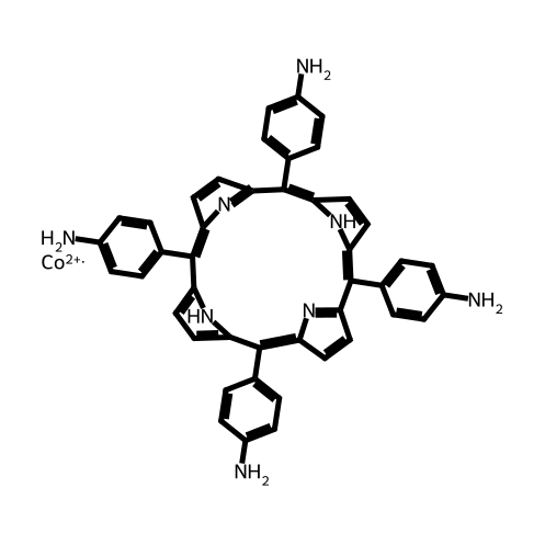 Nc1ccc(-c2c3nc(c(-c4ccc(N)cc4)c4ccc([nH]4)c(-c4ccc(N)cc4)c4nc(c(-c5ccc(N)cc5)c5ccc2[nH]5)C=C4)C=C3)cc1.[Co+2]